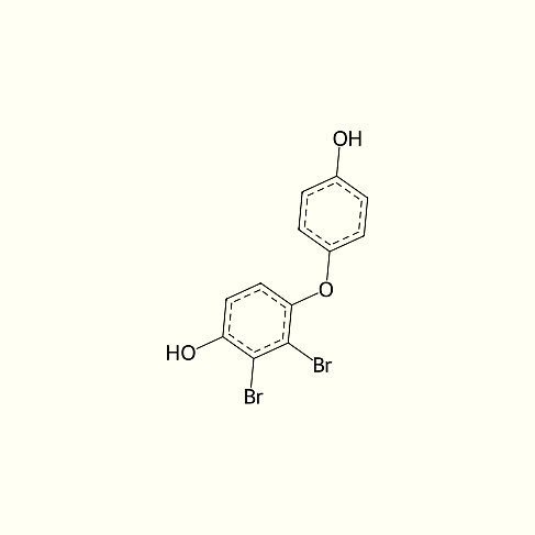 Oc1ccc(Oc2ccc(O)c(Br)c2Br)cc1